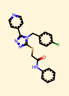 O=C(CSc1nnc(-c2ccncc2)n1Cc1ccc(F)cc1)Nc1ccccc1